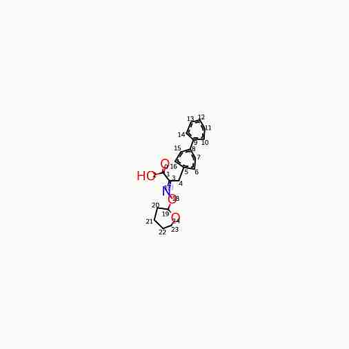 O=C(O)/C(Cc1ccc(-c2ccccc2)cc1)=N/OC1CCCCO1